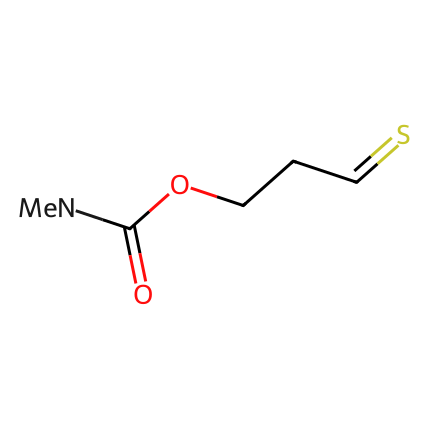 CNC(=O)OCCC=S